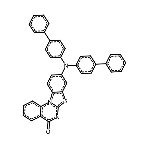 O=c1nc2sc3cc(N(c4ccc(-c5ccccc5)cc4)c4ccc(-c5ccccc5)cc4)ccc3n2c2ccccc12